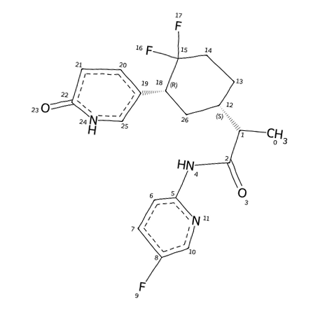 CC(C(=O)Nc1ccc(F)cn1)[C@H]1CCC(F)(F)[C@@H](c2ccc(=O)[nH]c2)C1